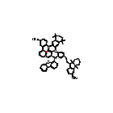 Cc1cc2c3c(c1)N(c1cccc4c1sc1ccccc14)c1cc(CCC4c5ccc(C(C)(C)C)cc5C5(C)CCCCC45C)ccc1B3c1cc3c(cc1N2c1ccc(C(C)(C)C)cc1-c1ccccc1)C(C)(C)CCC3(C)C